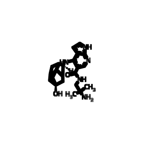 CC(C)(N)CNC(=O)c1cnc2[nH]ccc2c1N[C@H]1C2CC3CC1C[C@@](O)(C3)C2